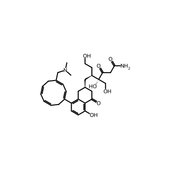 CN(C)C/C1=C/C=C(/c2ccc(O)c3c2C[C@@H](C[C@@H](CCO)[C@](O)(CO)C(=O)CC(N)=O)CC3=O)C/C=C\C=C/C1